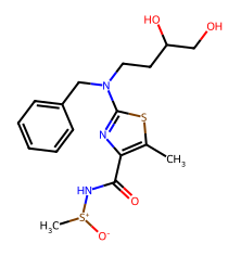 Cc1sc(N(CCC(O)CO)Cc2ccccc2)nc1C(=O)N[S+](C)[O-]